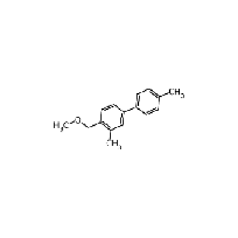 COCc1ccc(-c2ccc(C)cc2)cc1C